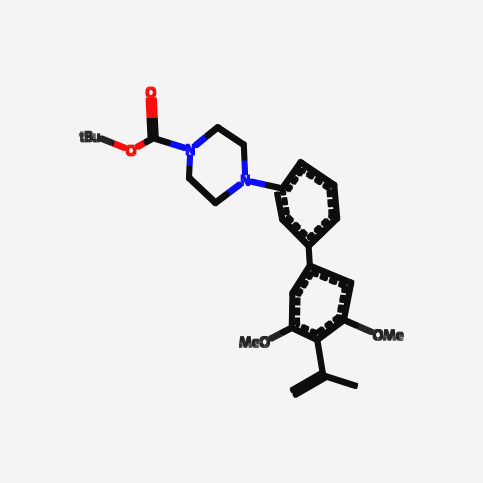 C=C(C)c1c(OC)cc(-c2cccc(N3CCN(C(=O)OC(C)(C)C)CC3)c2)cc1OC